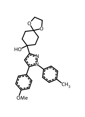 COc1ccc(-c2cc(C3(O)CCC4(CC3)OCCO4)nn2-c2ccc(C)cc2)cc1